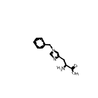 NC(Cc1cn(Cc2ccccc2)cn1)C(=O)O